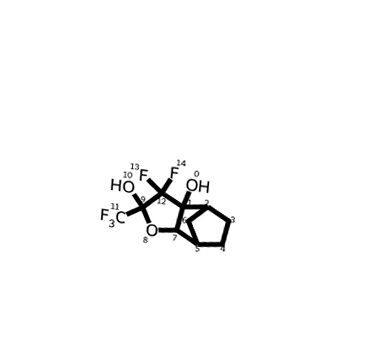 OC12C3CCC(C3)C1OC(O)(C(F)(F)F)C2(F)F